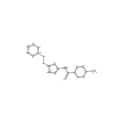 Cc1ccc(C(=O)Nc2cnn(CCc3ccncc3)c2)cc1